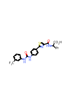 CC(C)C(NC(=O)c1csc(-c2ccc(NC(=O)Nc3cccc(C(F)(F)F)c3)cc2)n1)C(=O)O